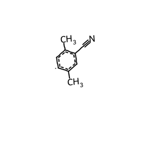 Cc1[c]cc(C)c(C#N)c1